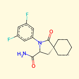 NC(=O)C1C[C@]2(C[CH]CCC2)C(=O)N1c1cc(F)cc(F)c1